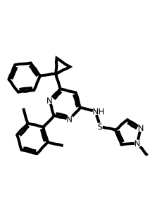 Cc1cccc(C)c1-c1nc(NSc2cnn(C)c2)cc(C2(c3ccccc3)CC2)n1